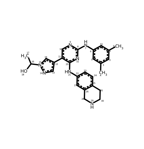 Cc1cc(C)cc(Nc2ncc(-c3cnn(C(C)O)c3)c(Nc3ccc4c(c3)CNCC4)n2)c1